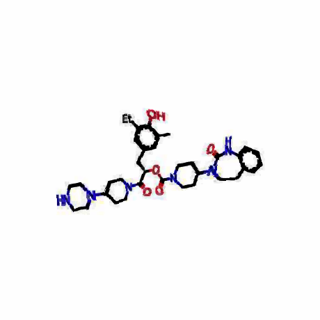 CCc1cc(C[C@@H](OC(=O)N2CCC(N3CCc4ccccc4NC3=O)CC2)C(=O)N2CCC(N3CCNCC3)CC2)cc(C)c1O